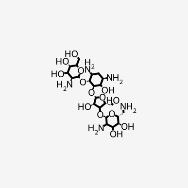 NC[C@H]1O[C@H](OC2[C@@H](CO)O[C@@H](O[C@@H]3C(O)[C@H](N)CC(N)[C@H]3O[C@H]3OC(CO)[C@@H](O)C(O)[C@@H]3N)[C@H]2O)C(N)C(O)[C@@H]1O